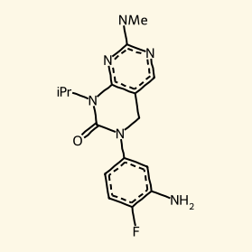 CNc1ncc2c(n1)N(C(C)C)C(=O)N(c1ccc(F)c(N)c1)C2